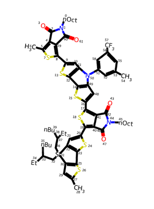 CCCCCCCCN1C(=O)c2c(C)sc(-c3cc4c(s3)c3sc(-c5sc(-c6cc7c(s6)-c6sc(C)cc6[Si]7(CC(CC)CCCC)CC(CC)CCCC)c6c5C(=O)N(CCCCCCCC)C6=O)cc3n4-c3cc(C)cc(C(F)(F)F)c3)c2C1=O